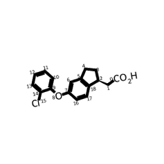 O=C(O)C[C@@H]1CCc2cc(Oc3ccccc3Cl)ccc21